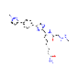 CNNCC(=O)N[C@@H](CCCCCC(N)=O)c1ncc(-c2ccc(-c3ccn(C)n3)cc2)[nH]1